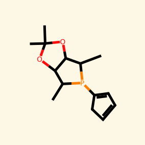 CC1C2OC(C)(C)OC2C(C)P1C1=CC=CC1